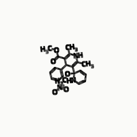 COC(=O)C1=C(C)NC(C)=C(C2(OC)C=CC=CN2)C1c1cccc([N+](=O)[O-])c1